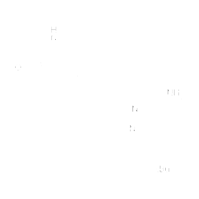 CC(C)(C)c1cc(N)n(-c2ccc3c(c2)CC(=O)NC3)n1